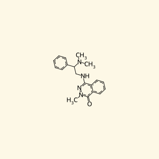 CN(C)C(CNc1nn(C)c(=O)c2ccccc12)c1ccccc1